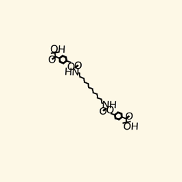 CC(C)(O)C(=O)c1ccc(COC(=O)NCCCCCCCCCCCCNC(=O)OCc2ccc(C(=O)C(C)(C)O)cc2)cc1